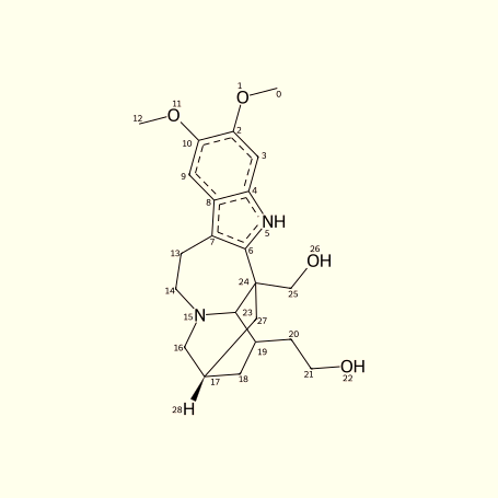 COc1cc2[nH]c3c(c2cc1OC)CCN1C[C@H]2CC(CCO)C1C3(CO)C2